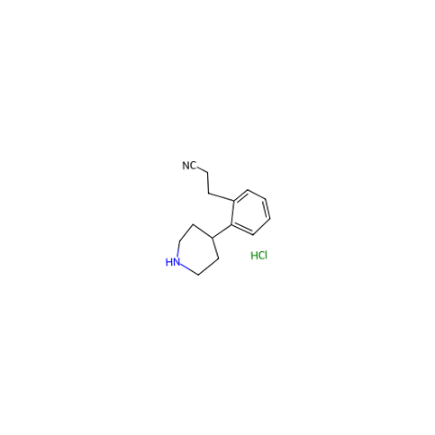 Cl.N#CCCc1ccccc1C1CCNCC1